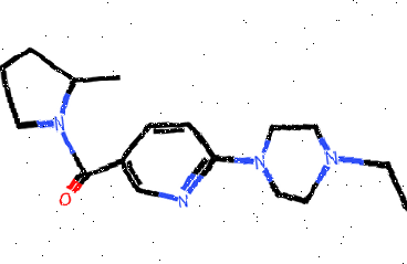 CCN1CCN(c2ccc(C(=O)N3CCCC3C)cn2)CC1